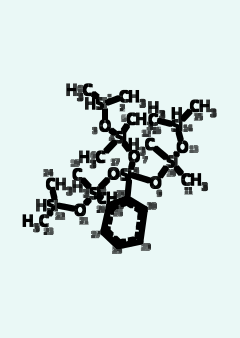 C[SiH](C)O[Si](C)(C)O[Si](O[Si](C)(C)O[SiH](C)C)(O[Si](C)(C)O[SiH](C)C)c1ccccc1